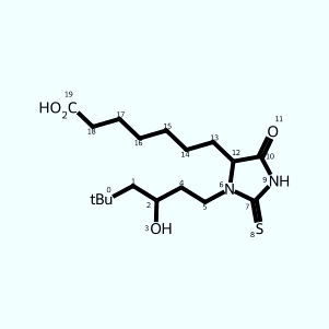 CC(C)(C)CC(O)CCN1C(=S)NC(=O)C1CCCCCCC(=O)O